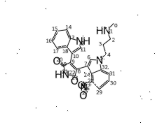 CNCCCn1cc(C2=C(c3c[nH]c4ccccc34)C(=O)NC2=O)c2c([N+](=O)[O-])cccc21